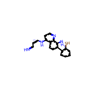 N=C/C=C\Nc1ccnc2c(N)c(-c3ccccc3S)ccc12